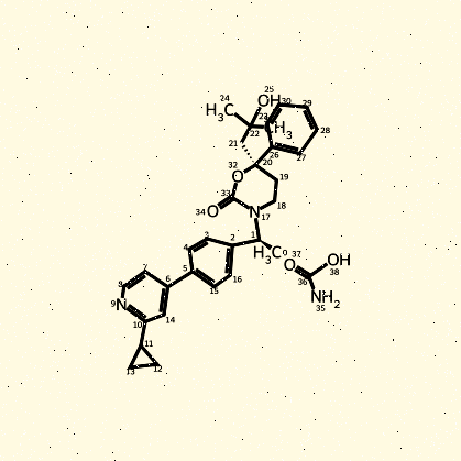 C[C@@H](c1ccc(-c2ccnc(C3CC3)c2)cc1)N1CC[C@](CC(C)(C)O)(c2ccccc2)OC1=O.NC(=O)O